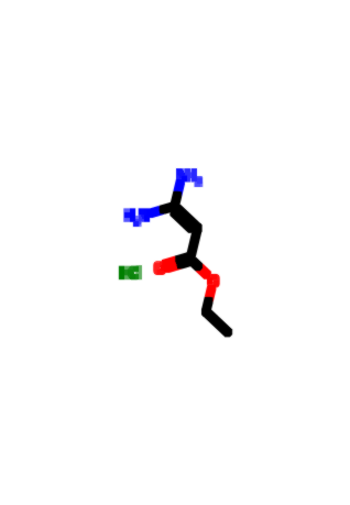 CCOC(=O)C=C(N)N.Cl